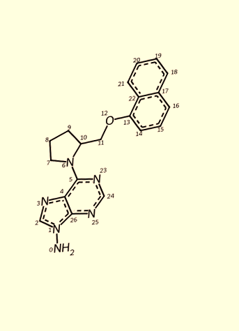 Nn1cnc2c(N3CCCC3COc3cccc4ccccc34)ncnc21